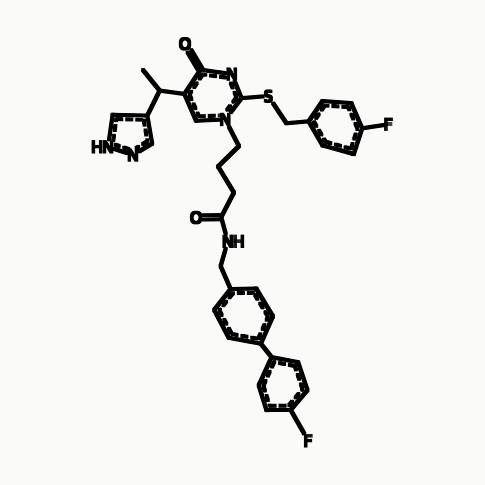 CC(c1cn[nH]c1)c1cn(CCCC(=O)NCc2ccc(-c3ccc(F)cc3)cc2)c(SCc2ccc(F)cc2)nc1=O